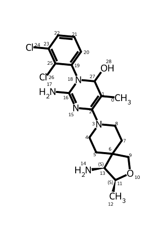 CC1=C(N2CCC3(CC2)CO[C@@H](C)[C@H]3N)N=C(N)N(c2cccc(Cl)c2Cl)C1O